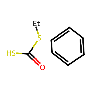 CCSC(=O)S.c1ccccc1